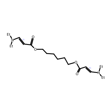 CCN(/C=C/C(=O)OCCCCCCOC(=O)/C=C/N(CC)CC)CC